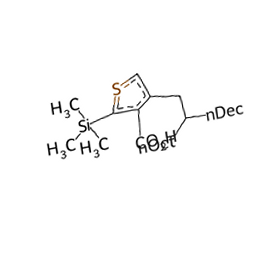 CCCCCCCCCCC(CCCCCCCC)Cc1csc([Si](C)(C)C)c1C(=O)O